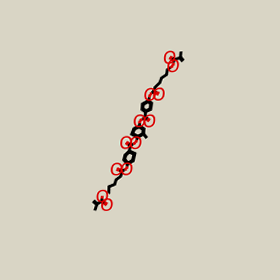 C=C(C)C(=O)OCCCCCC(=O)Oc1ccc(C(=O)Oc2ccc(OC(=O)c3ccc(OC(=O)CCCCCOC(=O)C(=C)C)cc3)c(C)c2)cc1